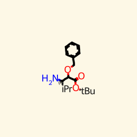 CC(C)[C@@H](N)C(OCc1ccccc1)C(=O)OC(C)(C)C